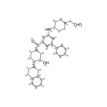 O=CCN1CCC(Nc2cc(C(=O)N3CCC(N4CCc5ccccc5C4)C(O)C3)nc(-c3ccccc3)n2)CC1